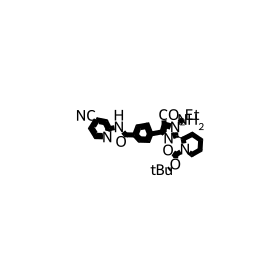 CCOC(=O)c1c(-c2ccc(C(=O)Nc3cc(C#N)ccn3)cc2)nc([C@@H]2CCCCN2C(=O)OC(C)(C)C)n1N